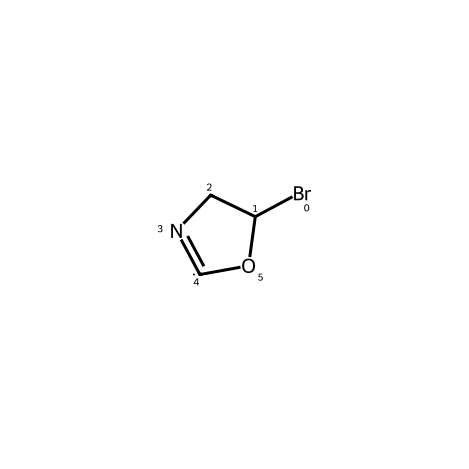 BrC1CN=[C]O1